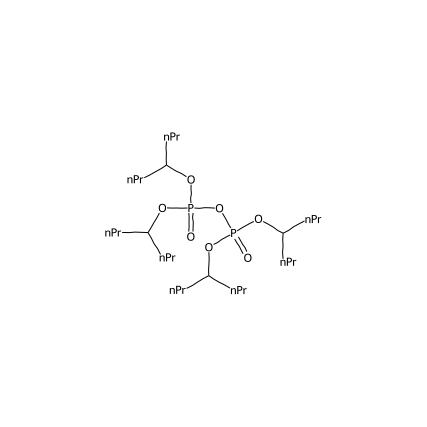 CCCC(CCC)OP(=O)(OC(CCC)CCC)OP(=O)(OC(CCC)CCC)OC(CCC)CCC